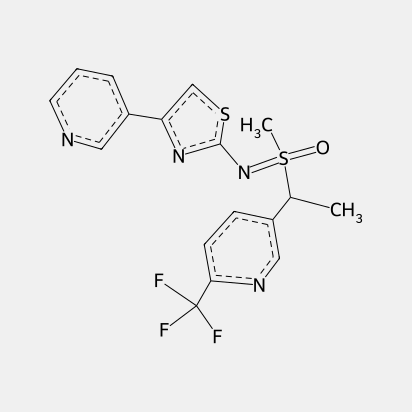 CC(c1ccc(C(F)(F)F)nc1)S(C)(=O)=Nc1nc(-c2cccnc2)cs1